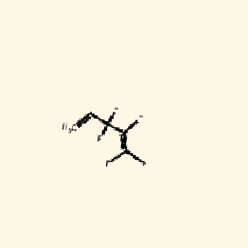 C=CC(F)(F)C(F)=C(F)F